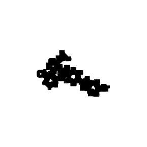 Clc1cccc(Cl)c1-c1noc(C2CC2)c1C1=CC2(CCN(c3nc4ncc(Br)cc4s3)CC2)C1